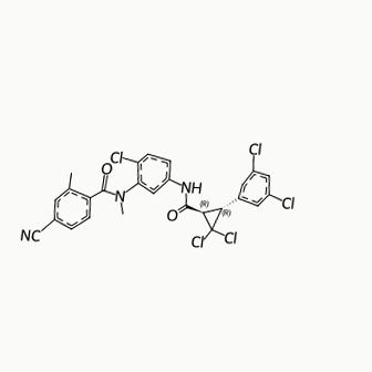 Cc1cc(C#N)ccc1C(=O)N(C)c1cc(NC(=O)[C@H]2[C@H](c3cc(Cl)cc(Cl)c3)C2(Cl)Cl)ccc1Cl